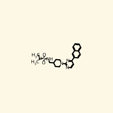 CN(C)S(=O)(=O)NCC1CCN(c2nccc(-c3ccc4ccccc4c3)n2)CC1